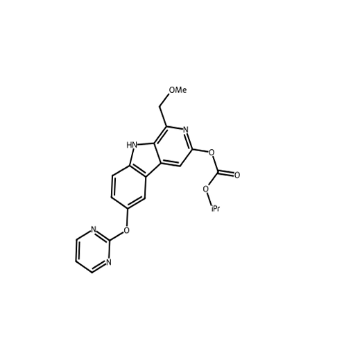 COCc1nc(OC(=O)OC(C)C)cc2c1[nH]c1ccc(Oc3ncccn3)cc12